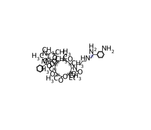 CC[C@H]1OC(=O)[C@H](C)C(=O)[C@H](C)[C@@H](OC2O[C@H](C)C[C@H](N(C)C)[C@H]2OC(=O)c2ccccc2)[C@@](C)(OC)C[C@@H](C)C(=O)[C@H](C)C2N(CCCCN/C=C(\N)c3cccc(N)c3)C(=O)O[C@@]21C